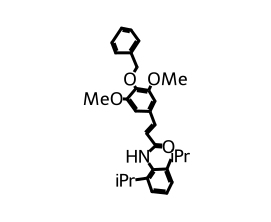 COc1cc(C=CC(=O)Nc2c(C(C)C)cccc2C(C)C)cc(OC)c1OCc1ccccc1